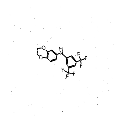 FC(F)(F)c1cc(Nc2ccc3c(c2)OCCO3)cc(C(F)(F)F)c1